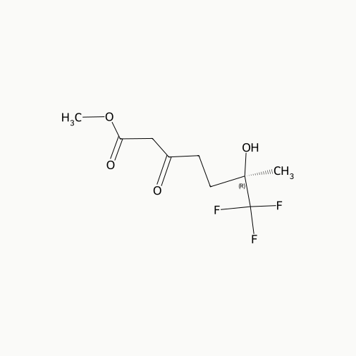 COC(=O)CC(=O)CC[C@@](C)(O)C(F)(F)F